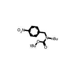 CCCCN(Cc1ccc([N+](=O)[O-])cc1)C(=O)OC(C)(C)C